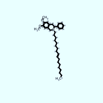 CCCCCCCCC=CCCCCCCCCN1Cc2cc(OC)c(OC)cc2CC1c1ccccc1